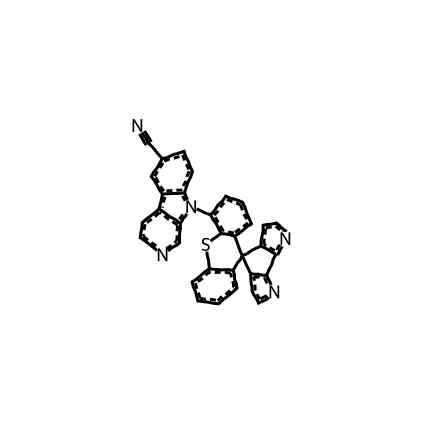 N#Cc1ccc2c(c1)c1ccncc1n2-c1cccc2c1Sc1ccccc1C21c2cccnc2-c2ncccc21